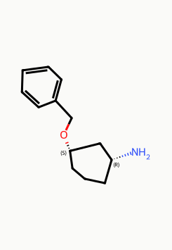 N[C@@H]1CCC[C@H](OCc2ccccc2)C1